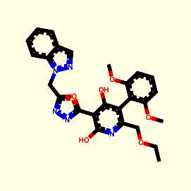 CCOCc1nc(O)c(-c2nnc(Cn3ncc4ccccc43)o2)c(O)c1-c1c(OC)cccc1OC